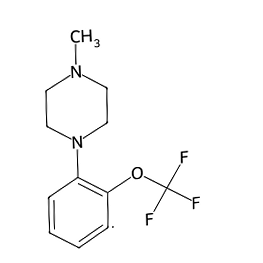 CN1CCN(c2ccc[c]c2OC(F)(F)F)CC1